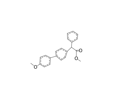 COC(=O)C(c1ccccc1)c1ccc(-c2ccc(OC)cc2)cc1